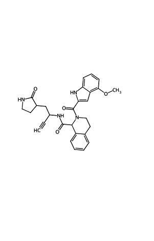 C#CC(CC1CCNC1=O)NC(=O)C1c2ccccc2CCN1C(=O)c1cc2c(OC)cccc2[nH]1